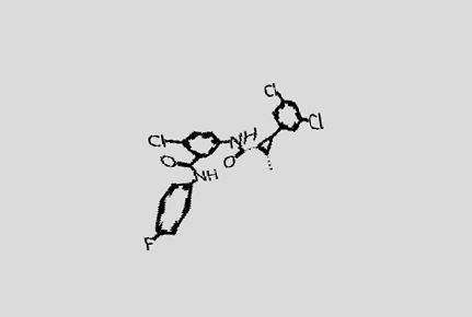 C[C@H]1C(c2cc(Cl)cc(Cl)c2)[C@H]1C(=O)Nc1ccc(Cl)c(C(=O)Nc2ccc(F)cc2)c1